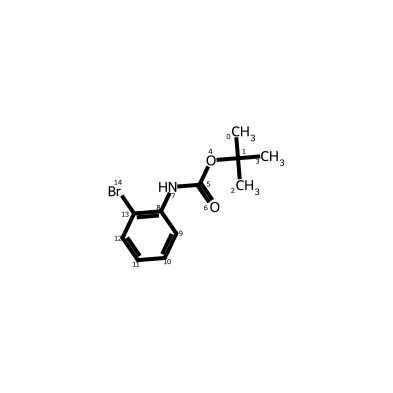 CC(C)(C)OC(=O)Nc1[c]cccc1Br